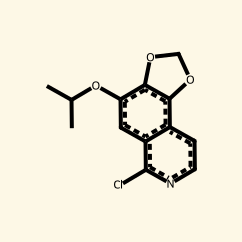 CC(C)Oc1cc2c(Cl)nccc2c2c1OCO2